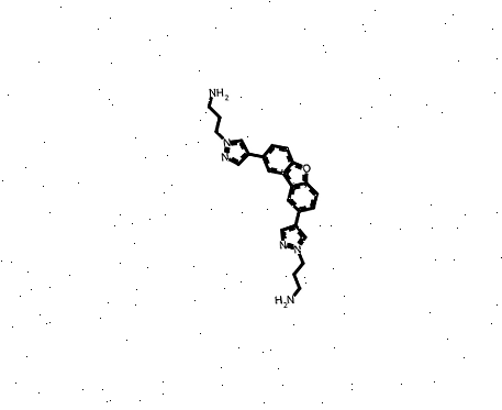 NCCCn1cc(-c2ccc3oc4ccc(-c5cnn(CCCN)c5)cc4c3c2)cn1